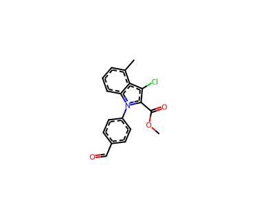 COC(=O)c1c(Cl)c2c(C)cccc2n1-c1ccc(C=O)cc1